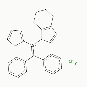 C1=CC[C]([Zr+2](=[C](c2ccccc2)c2ccccc2)[CH]2C=CC3=C2CCCC3)=C1.[Cl-].[Cl-]